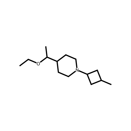 CCOC(C)C1CCN(C2CC(C)C2)CC1